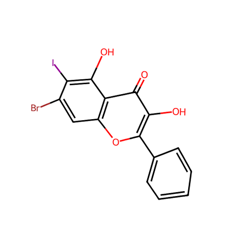 O=c1c(O)c(-c2ccccc2)oc2cc(Br)c(I)c(O)c12